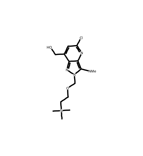 CNc1c2nc(Cl)cc(CO)c2nn1COCC[Si](C)(C)C